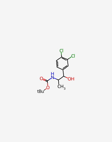 CC(NC(=O)OC(C)(C)C)C(O)c1ccc(Cl)c(Cl)c1